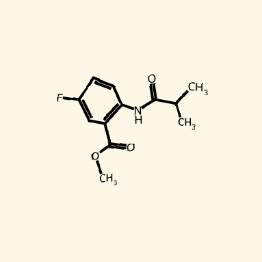 COC(=O)c1cc(F)ccc1NC(=O)C(C)C